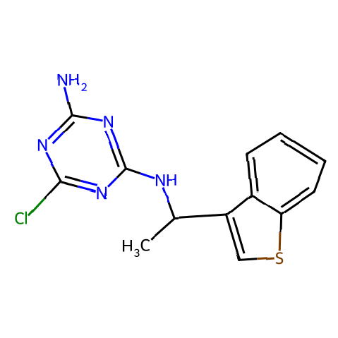 CC(Nc1nc(N)nc(Cl)n1)c1csc2ccccc12